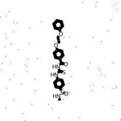 CN[S+]([O-])c1ccc(NC(=S)NC(=O)c2ccc(OCCOc3ccccc3)cc2)cc1